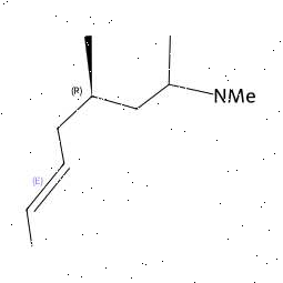 C/C=C/C[C@@H](C)CC(C)NC